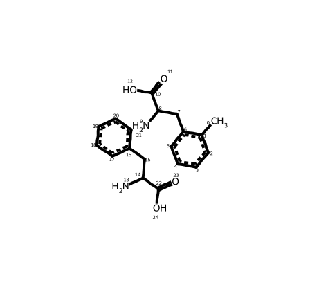 Cc1ccccc1CC(N)C(=O)O.NC(Cc1ccccc1)C(=O)O